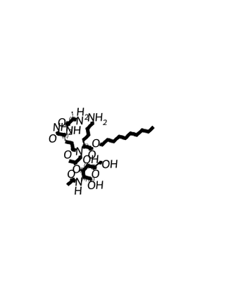 CCCCCCCCCCOC(=O)[C@H](CCCCN)N(CC(C)O[C@H]1[C@H](O)[C@@H](CO)O[C@H](O)[C@@H]1NC(C)=O)C(=O)CC[C@@H](NC(=O)[C@H](C)N)C(N)=O